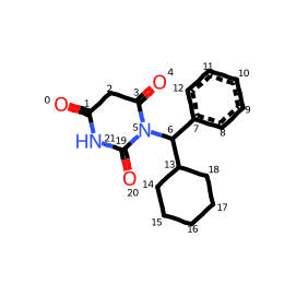 O=C1CC(=O)N(C(c2ccccc2)C2CCCCC2)C(=O)N1